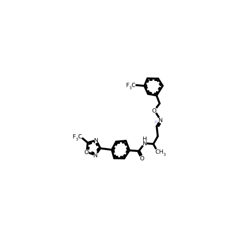 CC(C/C=N/OCc1cccc(C(F)(F)F)c1)NC(=O)c1ccc(-c2noc(C(F)(F)F)n2)cc1